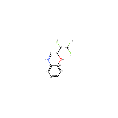 FC(F)C(F)C1C=Nc2ccccc2O1